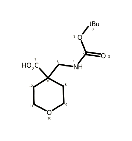 CC(C)(C)OC(=O)NCC1(C(=O)O)CCOCC1